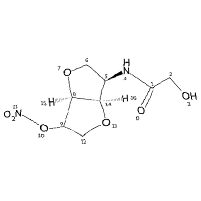 O=C(CO)N[C@@H]1CO[C@@H]2C(O[N+](=O)[O-])CO[C@@H]21